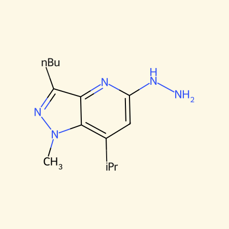 CCCCc1nn(C)c2c(C(C)C)cc(NN)nc12